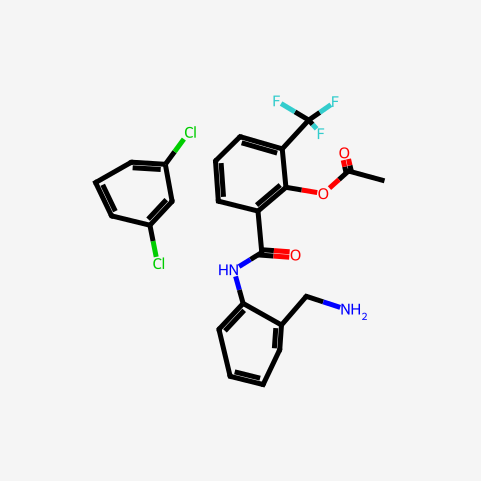 CC(=O)Oc1c(C(=O)Nc2ccccc2CN)cccc1C(F)(F)F.Clc1cccc(Cl)c1